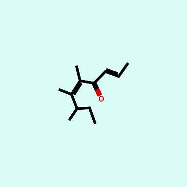 C/C=C/C(=O)/C(C)=C(/C)C(C)CC